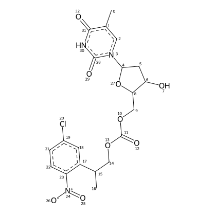 Cc1cn(C2CC(O)C(COC(=O)OCC(C)c3cc(Cl)ccc3[N+](=O)[O-])O2)c(=O)[nH]c1=O